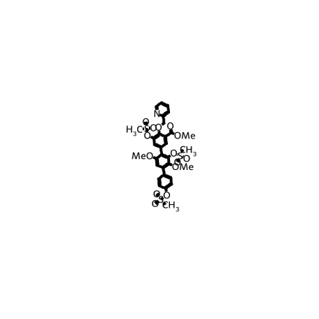 COC(=O)c1cc(-c2c(OC)cc(-c3ccc(OS(C)(=O)=O)cc3)c(OC)c2OS(C)(=O)=O)cc(OS(C)(=O)=O)c1OCc1ccccn1